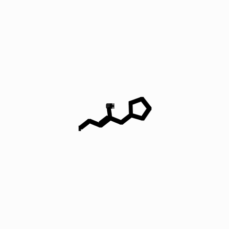 OC(=CCI)CC1CCCC1